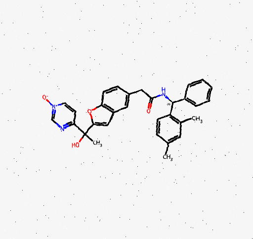 Cc1ccc([C@@H](NC(=O)Cc2ccc3oc(C(C)(O)c4cc[n+]([O-])cn4)cc3c2)c2ccccc2)c(C)c1